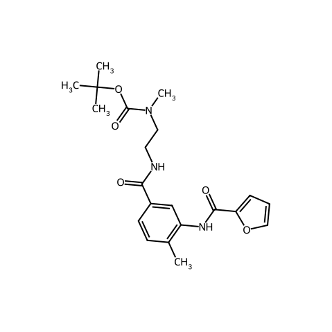 Cc1ccc(C(=O)NCCN(C)C(=O)OC(C)(C)C)cc1NC(=O)c1ccco1